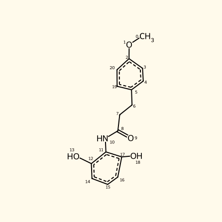 COc1ccc(CCC(=O)Nc2c(O)cccc2O)cc1